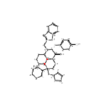 NC1CCC(N(Cc2nc3ccccc3s2)[C@H](Cc2ccc(Cl)cc2)C(=O)N2CCC(Cn3cncn3)(C3CCCCC3)CC2)CC1